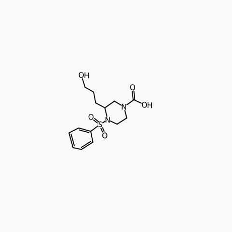 O=C(O)N1CCN(S(=O)(=O)c2ccccc2)C(CCCO)C1